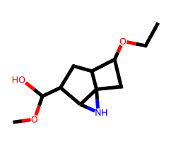 CCOC1CC23NC2C(C(O)OC)CC13